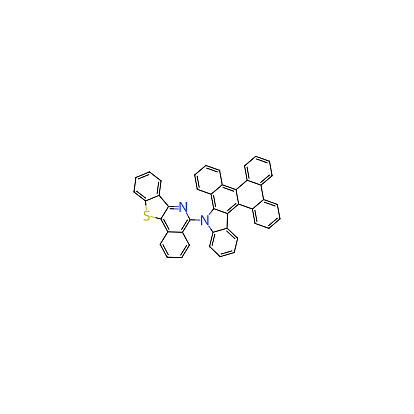 c1ccc2c(c1)sc1c3ccccc3c(-n3c4ccccc4c4c5c6ccccc6c6ccccc6c5c5ccccc5c43)nc21